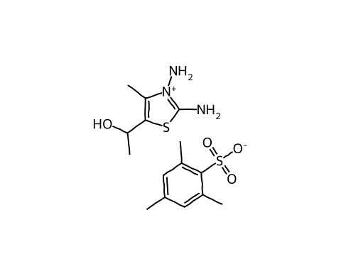 Cc1c(C(C)O)sc(N)[n+]1N.Cc1cc(C)c(S(=O)(=O)[O-])c(C)c1